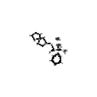 CC(O)(C(=O)OC1CC[N+]2(CCCC2)C1)c1ccccc1.[Cl-]